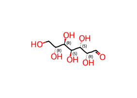 O=C[C@H](O)[C@@H](O)[C@@H](O)[C@H](O)[C@H](O)CO